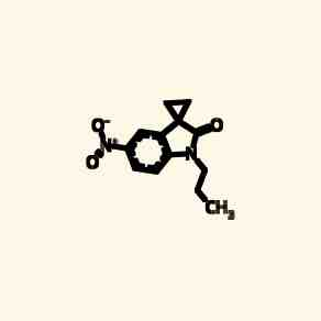 CCCN1C(=O)C2(CC2)c2cc([N+](=O)[O-])ccc21